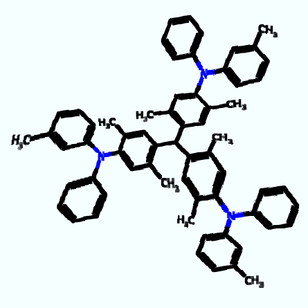 Cc1cccc(N(c2ccccc2)c2cc(C)c(C(c3cc(C)c(N(c4ccccc4)c4cccc(C)c4)cc3C)c3cc(C)c(N(c4ccccc4)c4cccc(C)c4)cc3C)cc2C)c1